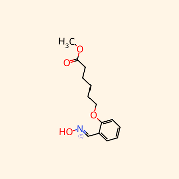 COC(=O)CCCCCOc1ccccc1/C=N/O